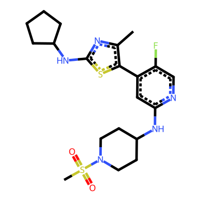 Cc1nc(NC2CCCC2)sc1-c1cc(NC2CCN(S(C)(=O)=O)CC2)ncc1F